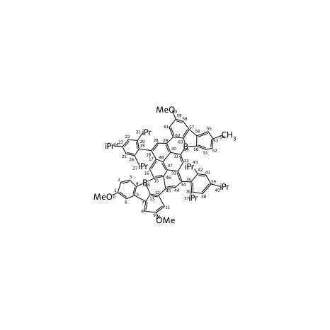 COc1ccc2c(c1)-c1cc(OC)cc3c1B2c1cc2c(-c4c(C(C)C)cc(C(C)C)cc4C(C)C)cc4c5c(cc6c(-c7c(C(C)C)cc(C(C)C)cc7C(C)C)cc-3c1c6c25)B1c2ccc(C)cc2-c2cc(OC)cc-4c21